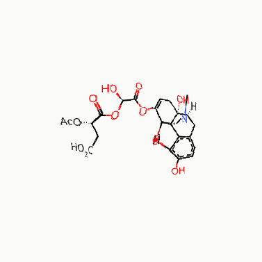 CC(=O)O[C@@H](CC(=O)O)C(=O)O[C@@H](O)C(=O)OC1=CC[C@@]2(O)[C@H]3Cc4ccc(O)c5c4[C@@]2(CCN3C)[C@H]1O5